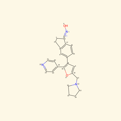 O/N=C1\CCc2cc(-c3cc(CN4CCCC4)oc3-c3ccncc3)ccc21